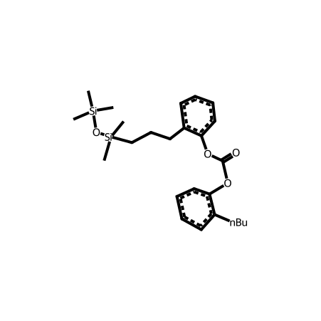 CCCCc1ccccc1OC(=O)Oc1ccccc1CCC[Si](C)(C)O[Si](C)(C)C